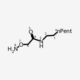 CCCCCCCNC(=O)CON